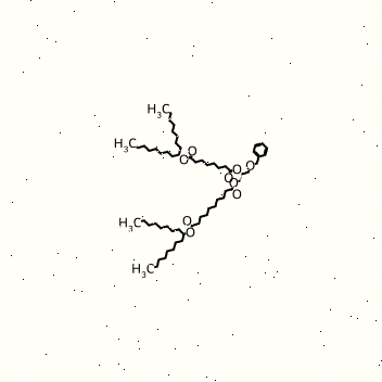 CCCCCCCCC(CCCCCCCC)OC(=O)CCCCCCCCC(=O)OC[C@@H](COCc1ccccc1)OC(=O)CCCCCCC(=O)OC(CCCCCCCC)CCCCCCCC